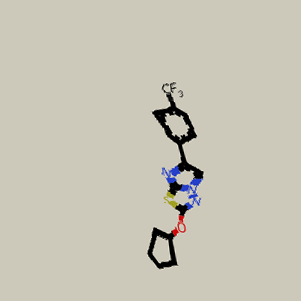 FC(F)(F)c1ccc(-c2cn3nc(OC4CCCC4)sc3n2)cc1